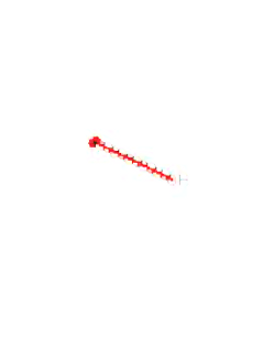 OCCOCCOCCOCCOCCOCCOCCOCCOCCOCCOc1cccc2ccccc12